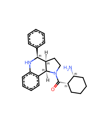 N[C@@H]1CCCC[C@@H]1C(=O)N1CC[C@@H]2[C@H](c3ccccc3)Nc3ccccc3[C@@H]21